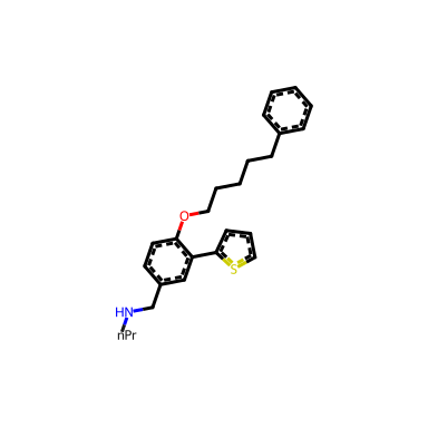 [CH2]CCNCc1ccc(OCCCCCc2ccccc2)c(-c2cccs2)c1